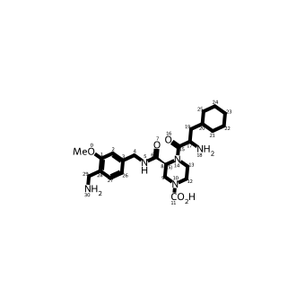 COc1cc(CNC(=O)[C@@H]2CN(C(=O)O)CCN2C(=O)C(N)CC2CCCCC2)ccc1CN